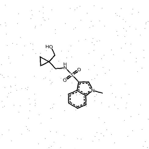 Cn1cc(S(=O)(=O)NCC2(CO)CC2)c2ccccc21